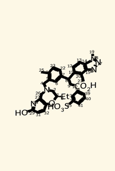 CC[C@@H]1CN(Cc2cc(C(CC(=O)O)c3ccc4c(nnn4C)c3C)ccc2C)Cc2nc(O)ccc2O1.O=S(=O)(O)c1ccccc1